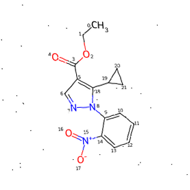 CCOC(=O)c1cnn(-c2ccccc2[N+](=O)[O-])c1C1CC1